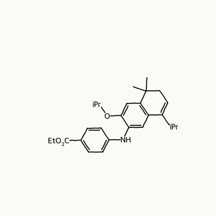 CCOC(=O)c1ccc(Nc2cc3c(cc2OC(C)C)C(C)(C)CC=C3C(C)C)cc1